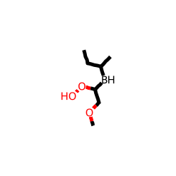 CCC(C)BC(COC)OO